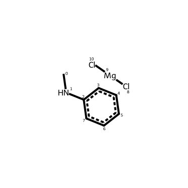 CNc1ccccc1.[Cl][Mg][Cl]